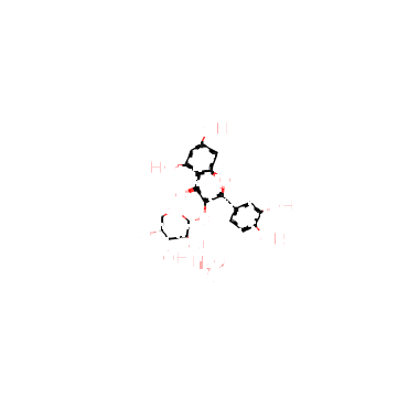 C[C@@H]1O[C@@H](Oc2c(-c3ccc(O)c(O)c3)oc3cc(O)cc(O)c3c2=O)[C@H](O)[C@H](O)[C@H]1O.O.O